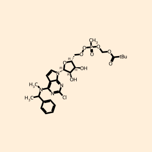 CC(c1ccccc1)N(C)c1nc(Cl)nc2c1ccn2[C@@H]1O[C@H](COOP(C)(=O)OCOC(=O)C(C)(C)C)[C@@H](O)[C@H]1O